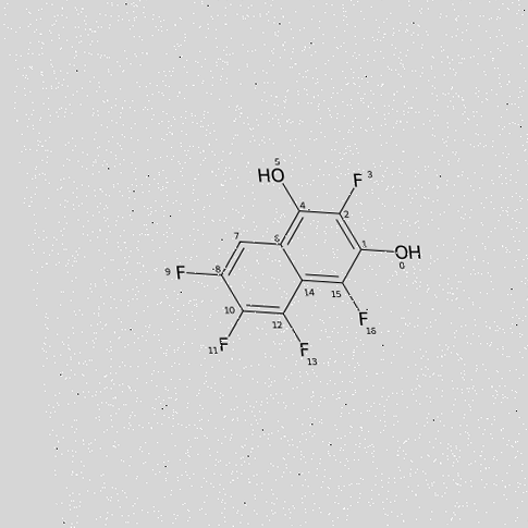 Oc1c(F)c(O)c2cc(F)c(F)c(F)c2c1F